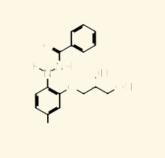 O=C(NN(F)c1ccc(I)cc1OC[C@H](O)CO)c1ccccc1